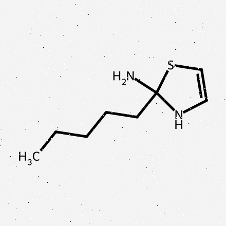 CCCCCC1(N)NC=CS1